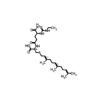 CCNC(=O)NC(CCC(=O)N[C@@H](CSC/C=C(\C)CC/C=C(\C)CCC=C(C)C)C(=O)O)C(N)=O